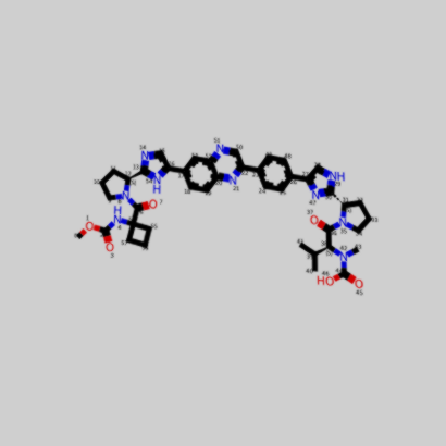 COC(=O)NC1(C(=O)N2CCC[C@H]2c2ncc(-c3ccc4nc(-c5ccc(-c6c[nH]c([C@@H]7CCCN7C(=O)[C@H](C(C)C)N(C)C(=O)O)n6)cc5)cnc4c3)[nH]2)CCC1